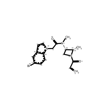 C=CC(=O)N1C[C@H](N(C)C(=O)Cn2ccc3cc(Br)ccc32)[C@@H]1C